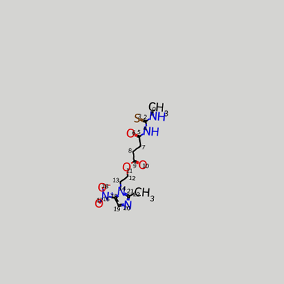 CNC(=S)NC(=O)CCC(=O)OCCn1c([N+](=O)[O-])cnc1C